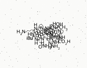 CC[C@H](C)[C@H](NC(=O)[C@H](CCCCN)NC(=O)[C@@H]1CCCN1C(=O)[C@H](C)N)C(=O)N[C@@H](CCC(N)=O)C(=O)N[C@@H](CCCNC(=N)N)C(=O)N[C@@H](CC(C)C)C(=O)N[C@H](C(=O)N[C@H](C(=O)N1CCC[C@H]1C(=O)N[C@@H](CCCNC(=N)N)C(=O)O)[C@@H](C)O)C(C)C